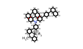 C[C@H]1c2ccccc2C(C)(C)c2c(-c3cccc(N(c4ccc(-c5ccc(-c6cccc7ccccc67)cc5)cc4)c4ccccc4-c4cccc5cccc(-c6ccccc6)c45)c3)cccc21